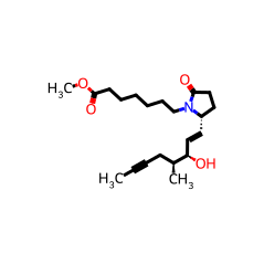 CC#CC[C@H](C)[C@H](O)/C=C/[C@H]1CCC(=O)N1CCCCCCC(=O)OC